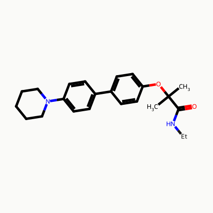 CCNC(=O)C(C)(C)Oc1ccc(-c2ccc(N3CCCCC3)cc2)cc1